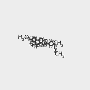 CCCCCC1(C)C=CC(C(=O)Oc2ccc3c(c2F)C(F)(F)C(F)(F)c2c-3ccc(CCC)c2F)=CC1